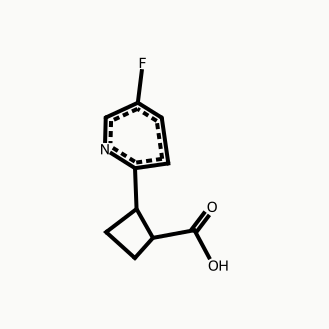 O=C(O)C1CCC1c1ccc(F)cn1